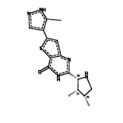 Cc1[nH]ncc1-c1cc2nc([C@@H]3NC[C@H](C)[C@@H]3C)[nH]c(=O)c2s1